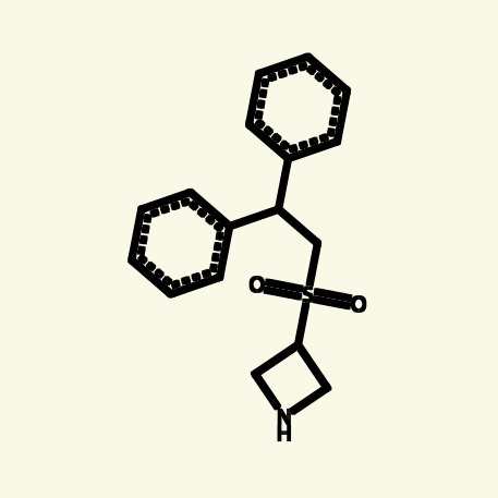 O=S(=O)(CC(c1ccccc1)c1ccccc1)C1CNC1